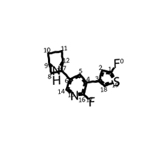 Fc1cc(-c2cc(C3CC4CCC3N4)cnc2F)cs1